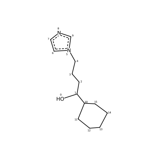 OC(CCCn1ccnc1)C1CCCCC1